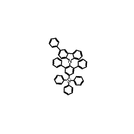 c1ccc(-c2ccc3c(c2)c2ccccc2n3-c2c(-c3ccccc3)cc([Si](c3ccccc3)(c3ccccc3)c3ccccc3)cc2-c2ccccc2)cc1